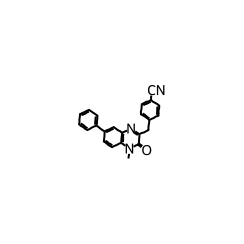 Cn1c(=O)c(Cc2ccc(C#N)cc2)nc2cc(-c3ccccc3)ccc21